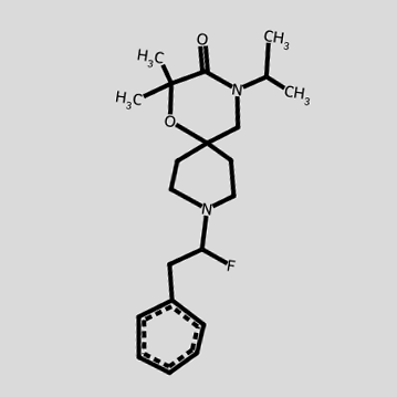 CC(C)N1CC2(CCN(C(F)Cc3ccccc3)CC2)OC(C)(C)C1=O